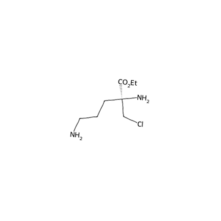 CCOC(=O)[C@](N)(CCl)CCCN